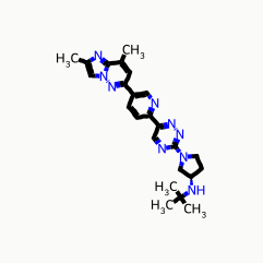 Cc1cn2nc(-c3ccc(-c4cnc(N5CC[C@@H](NC(C)(C)C)C5)nn4)nc3)cc(C)c2n1